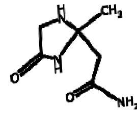 CC1(CC(N)=O)NCC(=O)N1